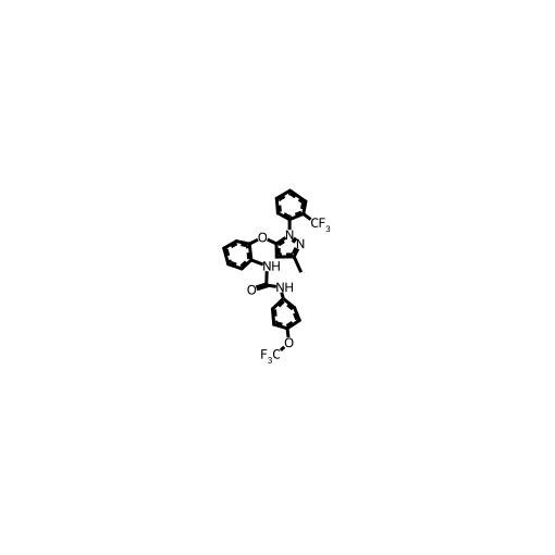 Cc1cc(Oc2ccccc2NC(=O)Nc2ccc(OC(F)(F)F)cc2)n(-c2ccccc2C(F)(F)F)n1